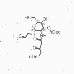 C=CCO[C@@H]1O[C@H](CO)[C@@H](O)[C@H](OCCCCCCCCCC)[C@H]1NC(=O)CC(=O)CCCCCCCCCCC